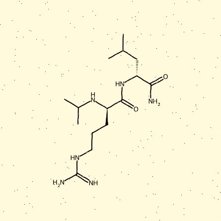 CC(C)C[C@@H](NC(=O)[C@@H](CCCNC(=N)N)NC(C)C)C(N)=O